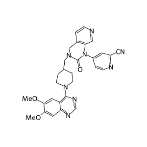 COc1cc2ncnc(N3CCC(CN4Cc5ccncc5N(c5ccnc(C#N)c5)C4=O)CC3)c2cc1OC